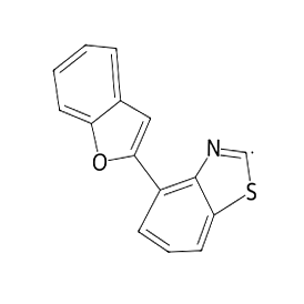 [c]1nc2c(-c3cc4ccccc4o3)cccc2s1